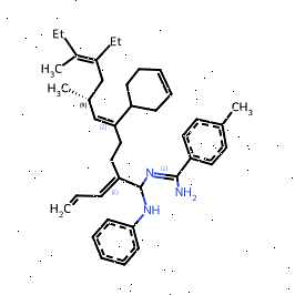 C=C/C=C(\CC/C(=C/[C@H](C)CC(CC)=C(C)CC)C1CC=CCC1)C(/N=C(\N)c1ccc(C)cc1)Nc1ccccc1